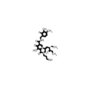 C=C(CC)[C@H](/C=C1\CN(CCCO)C(=O)c2c(O)c(=O)c(C(=O)NCc3ccc(C)c(C)c3F)cn21)CC